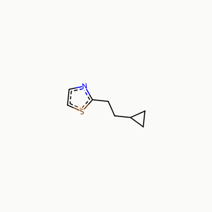 c1csc(CCC2CC2)n1